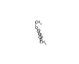 CCCCc1ccc(C2CCC(OCc3ccc(OCC)c(F)c3F)CO2)cc1